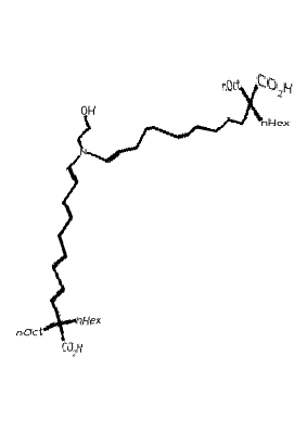 CCCCCCCCC(CCCCCC)(CCCCCCCCCN(CCO)CCCCCCCCCC(CCCCCC)(CCCCCCCC)C(=O)O)C(=O)O